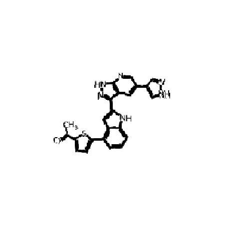 CC(=O)c1ccc(-c2cccc3[nH]c(-c4n[nH]c5ncc(-c6cn[nH]c6)cc45)cc23)s1